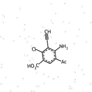 C#Cc1c(N)c(C(C)=O)cc(C(=O)O)c1Cl